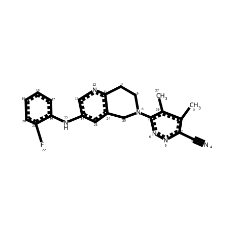 Cc1c(C#N)nnc(N2CCc3ncc(Nc4ccccc4F)cc3C2)c1C